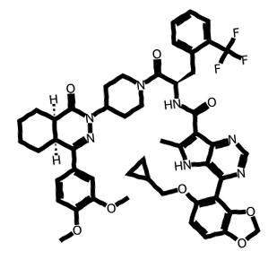 COc1ccc(C2=NN(C3CCN(C(=O)[C@@H](Cc4ccccc4C(F)(F)F)NC(=O)c4c(C)[nH]c5c(-c6c(OCC7CC7)ccc7c6OCO7)ncnc45)CC3)C(=O)[C@@H]3CCCC[C@H]23)cc1OC